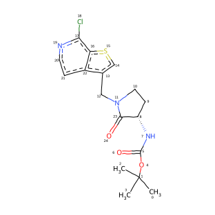 CC(C)(C)OC(=O)N[C@H]1CCN(Cc2csc3c(Cl)nccc23)C1=O